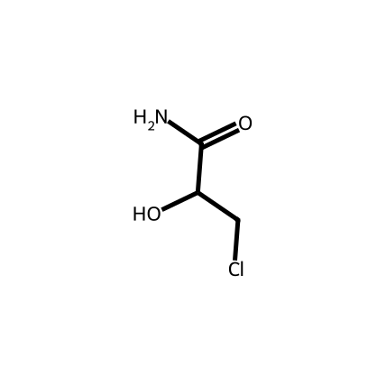 NC(=O)C(O)CCl